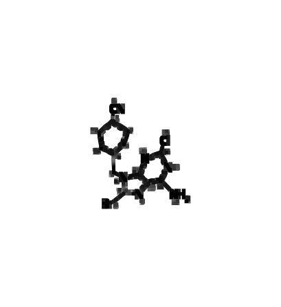 N#Cc1ccc(Cn2c(Br)nc3c(N)nc(Cl)nc32)cc1